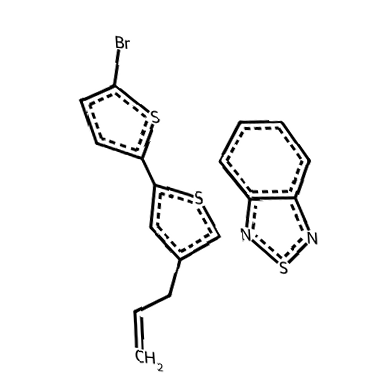 C=CCc1csc(-c2ccc(Br)s2)c1.c1ccc2nsnc2c1